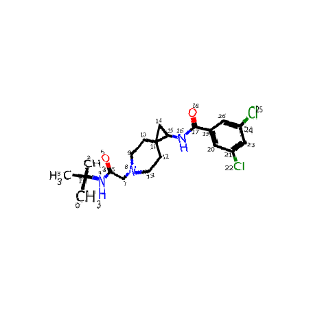 CC(C)(C)NC(=O)CN1CCC2(CC1)CC2NC(=O)c1cc(Cl)cc(Cl)c1